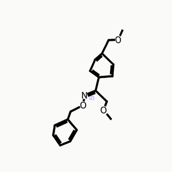 COC/C(=N\OCc1ccccc1)c1ccc(COC)cc1